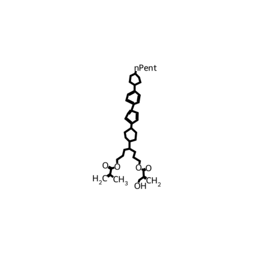 C=C(C)C(=O)OCCCC(CCCOC(=O)C(=C)CO)C1CCC(c2ccc(-c3ccc(C4CCC(CCCCC)CC4)cc3)cc2)CC1